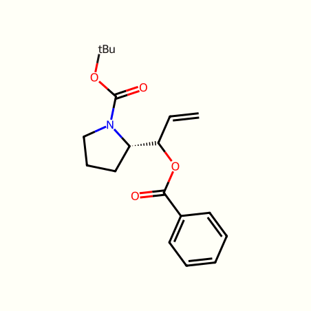 C=CC(OC(=O)c1ccccc1)[C@@H]1CCCN1C(=O)OC(C)(C)C